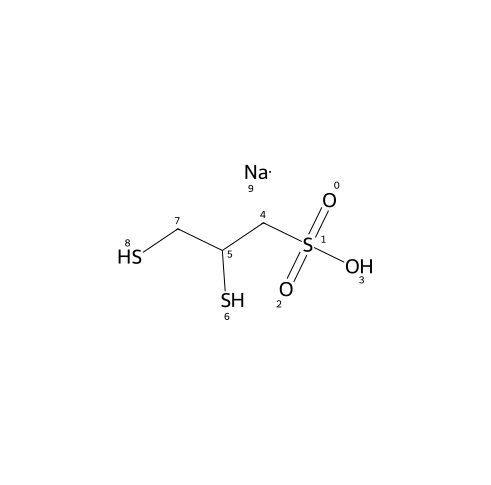 O=S(=O)(O)CC(S)CS.[Na]